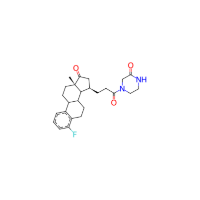 C[C@]12CCC3c4cccc(F)c4CCC3C1[C@H](CCC(=O)N1CCNC(=O)C1)CC2=O